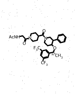 CC(=O)NCC(=O)N1CCC(C(=O)N2CCC(O[C@H](C)c3cc(C(F)(F)F)cc(C(F)(F)F)c3)C(c3ccccc3)C2)CC1